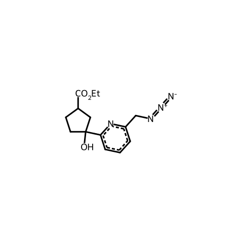 CCOC(=O)C1CCC(O)(c2cccc(CN=[N+]=[N-])n2)C1